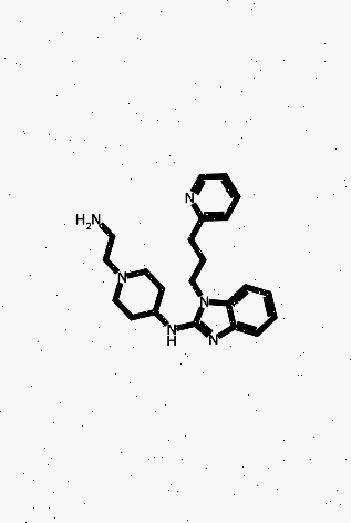 NCCN1CCC(Nc2nc3ccccc3n2CCCc2ccccn2)CC1